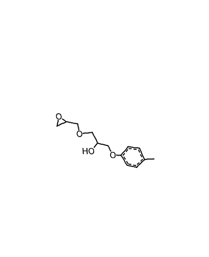 Cc1ccc(OCC(O)COCC2CO2)cc1